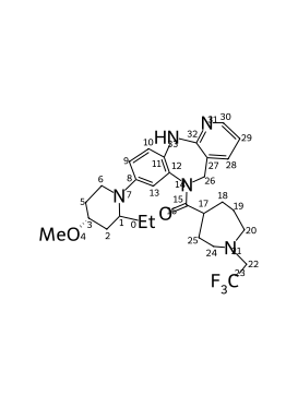 CCC1C[C@H](OC)CCN1c1ccc2c(c1)N(C(=O)C1CCCN(CC(F)(F)F)CC1)Cc1cccnc1N2